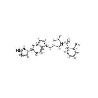 CC1CC(Cn2ccc3cc(-c4cn[nH]c4)cnc32)CN1C(=O)c1ccccc1F